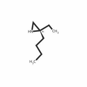 CCCC[C@]1(CC)CN1